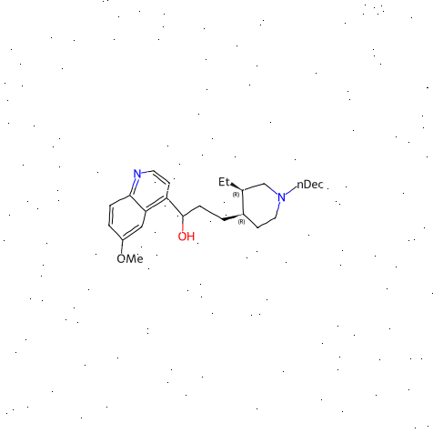 CCCCCCCCCCN1CC[C@@H](CCC(O)c2ccnc3ccc(OC)cc23)[C@@H](CC)C1